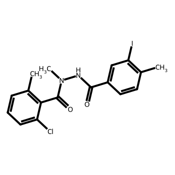 Cc1ccc(C(=O)NN(C)C(=O)c2c(C)cccc2Cl)cc1I